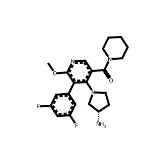 COc1ncc(C(=O)N2CCCCC2)c(N2CC[C@H](N)C2)c1-c1cc(F)cc(F)c1